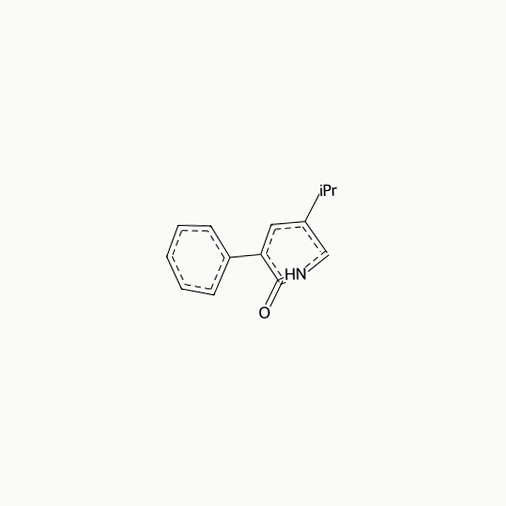 CC(C)c1c[nH]c(=O)c(-c2ccccc2)c1